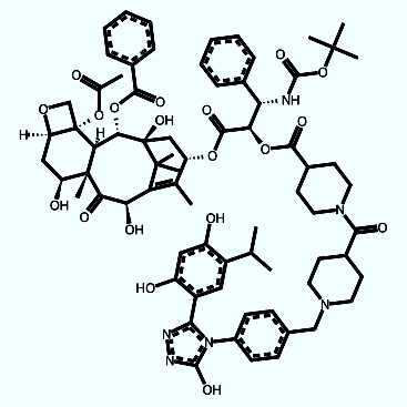 CC(=O)O[C@@]12CO[C@@H]1C[C@H](O)[C@@]1(C)C(=O)[C@H](O)C3=C(C)[C@@H](OC(=O)[C@H](OC(=O)C4CCN(C(=O)C5CCN(Cc6ccc(-n7c(O)nnc7-c7cc(C(C)C)c(O)cc7O)cc6)CC5)CC4)[C@@H](NC(=O)OC(C)(C)C)c4ccccc4)C[C@@](O)([C@@H](OC(=O)c4ccccc4)[C@H]21)C3(C)C